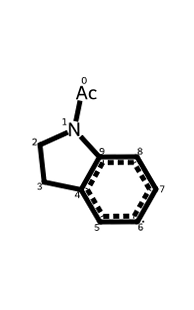 CC(=O)N1CCc2c[c]ccc21